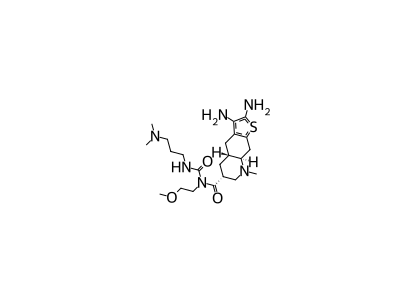 COCCN(C(=O)NCCCN(C)C)C(=O)[C@@H]1C[C@@H]2Cc3c(sc(N)c3N)C[C@H]2N(C)C1